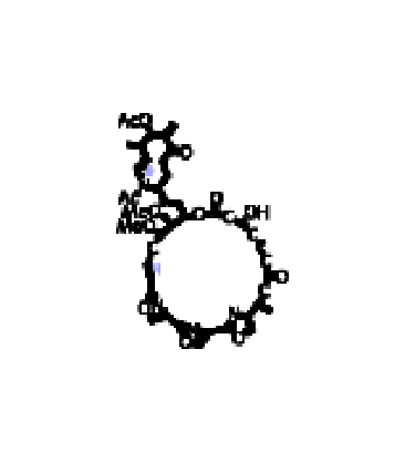 C=C(C(=O)CCC(C)C(CC1OC(=O)CC(O)CCCC(=O)CC(C)c2coc(n2)-c2coc(n2)-c2coc(n2)/C=C/CC(OC)C1C)OC)C(OC(C)=O)C(C)/C=C/N(C)C(C)=O